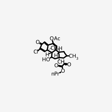 CCCOC(=O)C(=O)[C@H]1C(C)C[C@H]2[C@@H]3C=C(OC(C)=O)C4=CC(=O)C(Cl)=C[C@]4(C)[C@H]3C(O)C[C@]12C